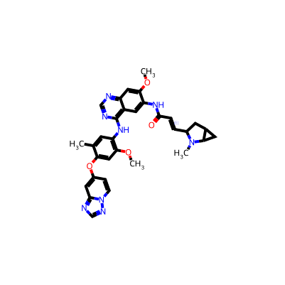 COc1cc2ncnc(Nc3cc(C)c(Oc4ccn5ncnc5c4)cc3OC)c2cc1NC(=O)/C=C/C1CC2CC2N1C